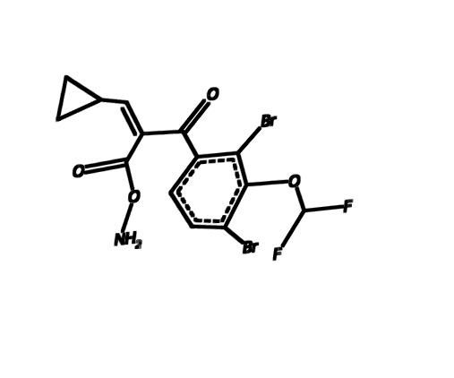 NOC(=O)C(=CC1CC1)C(=O)c1ccc(Br)c(OC(F)F)c1Br